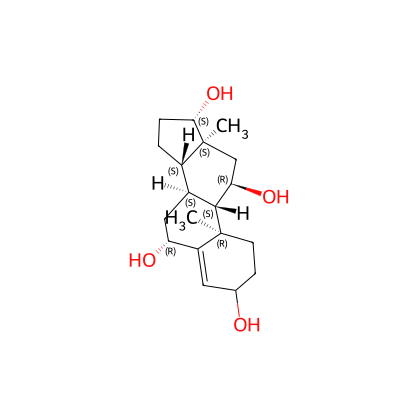 C[C@]12C[C@@H](O)[C@H]3[C@@H](C[C@@H](O)C4=CC(O)CC[C@@]43C)[C@@H]1CC[C@@H]2O